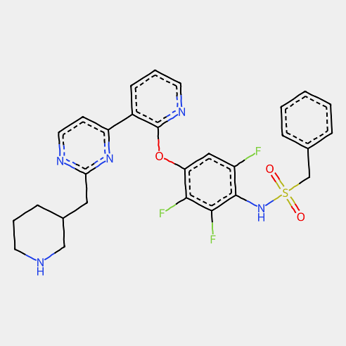 O=S(=O)(Cc1ccccc1)Nc1c(F)cc(Oc2ncccc2-c2ccnc(CC3CCCNC3)n2)c(F)c1F